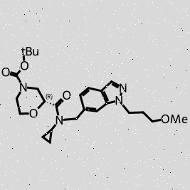 COCCCn1ncc2ccc(CN(C(=O)[C@H]3CN(C(=O)OC(C)(C)C)CCO3)C3CC3)cc21